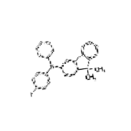 CC1(C)c2ccccc2-c2cc(N(c3ccccc3)c3ccc(I)cc3)ccc21